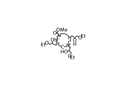 CCOCC(O)CN1CCCN(CC(O)COCC)CCN(C(=O)OC)CCCN(CC(O)COCC)CC1